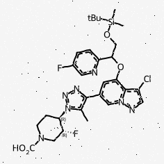 Cc1c(-c2cc(OC(CO[Si](C)(C)C(C)(C)C)c3ccc(F)cn3)c3c(Cl)cnn3c2)nnn1[C@@H]1CCN(C(=O)O)C[C@H]1F